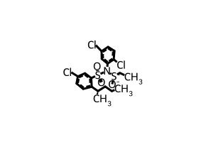 CCC[C@@H](C)c1ccc(Cl)cc1S(=O)(=O)N(c1cc(Cl)ccc1Cl)[S+]([O-])CC